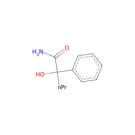 CCCC(O)(C(N)=O)c1ccccc1